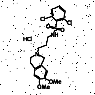 COc1cc2c(cc1OC)CN(CCCNS(=O)(=O)c1c(Cl)cccc1Cl)CC2.Cl